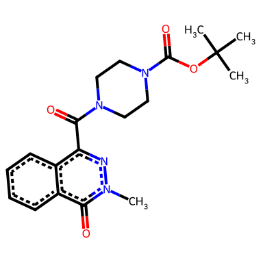 Cn1nc(C(=O)N2CCN(C(=O)OC(C)(C)C)CC2)c2ccccc2c1=O